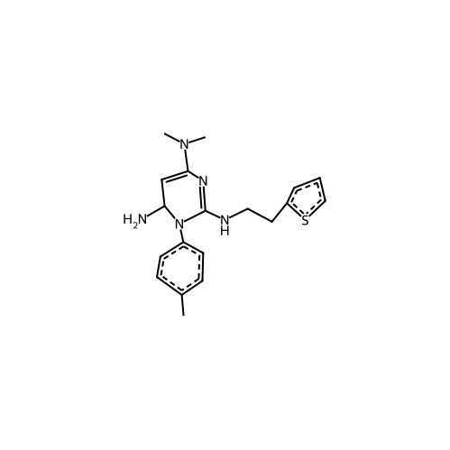 Cc1ccc(N2C(NCCc3cccs3)=NC(N(C)C)=CC2N)cc1